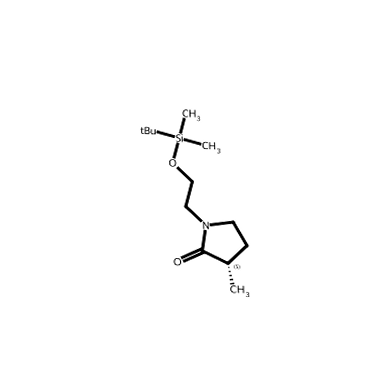 C[C@H]1CCN(CCO[Si](C)(C)C(C)(C)C)C1=O